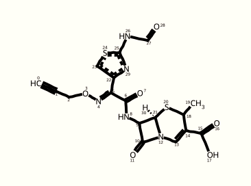 C#CCON=C(C(=O)NC1C(=O)N2C=C(C(=O)O)C(C)S[C@H]12)c1csc(NC=O)n1